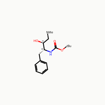 CNC[C@H](O)[C@@H](Cc1ccccc1)NC(=O)OC(C)(C)C